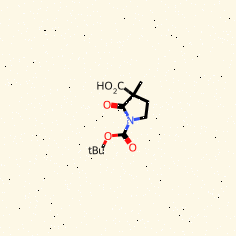 CC(C)(C)OC(=O)N1CCC(C)(C(=O)O)C1=O